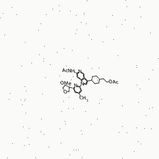 CO[C@@]1(c2cc(C)cc(-n3cc(C4CCC(CCOC(C)=O)CC4)c4cnc(NC(C)=O)cc43)n2)CCOC1